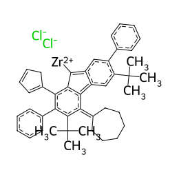 CC(C)(C)c1cc2c(cc1-c1ccccc1)=[C]([Zr+2])c1c(C3=CC=CC3)c(-c3ccccc3)c(C(C)(C)C)c(=C3CCCCCC3)c1=2.[Cl-].[Cl-]